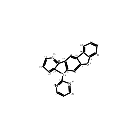 c1cnc(-n2c3cc4sc5ccccc5c4cc3c3ncccc32)nc1